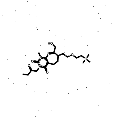 CCC(=O)Cn1c(=O)c2c(n(C)c1=O)N=C(CO)C(CCOCC[Si](C)(C)C)CC2